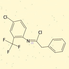 FC(F)(F)c1cc(Cl)ccc1/N=C(\Cl)Cc1ccccc1